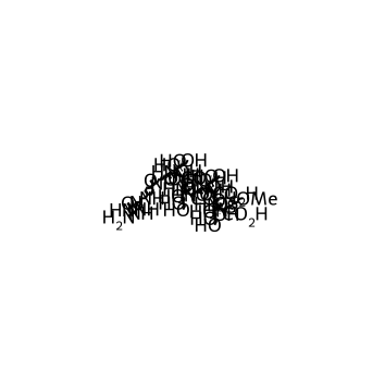 COCCSSC[C@H](NC(=O)[C@@H](NC(=O)C[C@H](NC(=O)[C@@H](NC(=O)C[C@H](NC(=O)[C@@H](NC(=O)C[C@H](NC(=O)[C@@H](NC(=O)CCCNC(=O)c1ccc(NCC2=NC3=C(NC2)NC(N)NC3=O)cc1)[C@@H](O)[C@H](O)[C@H](O)CO)C(=O)O)[C@@H](O)C[C@H](O)CO)C(=O)O)[C@@H](O)[C@H](O)[C@H](O)CO)C(=O)O)[C@@H](O)[C@H](O)[C@H](O)CO)C(=O)O